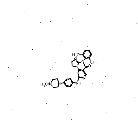 Cc1cccc(C)c1N1C(=O)c2cnc(Nc3ccc(N4CCN(C)CC4)cc3)nc2N2CCN=C21